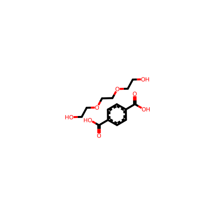 O=C(O)c1ccc(C(=O)O)cc1.OCCOCCOCCO